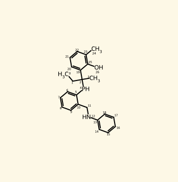 CCC(C)(Pc1ccccc1CNc1ccccc1)c1cccc(C)c1O